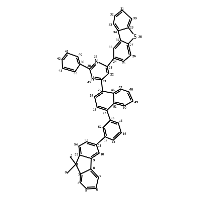 CC1(C)c2ccccc2-c2cc(-c3cccc(-c4ccc(-c5cc(-c6ccc7sc8ccccc8c7c6)nc(-c6ccccc6)n5)c5ccccc45)c3)ccc21